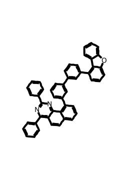 c1ccc(-c2nc(-c3ccccc3)c3ccc4cccc(-c5cccc(-c6cccc(-c7cccc8oc9ccccc9c78)c6)c5)c4c3n2)cc1